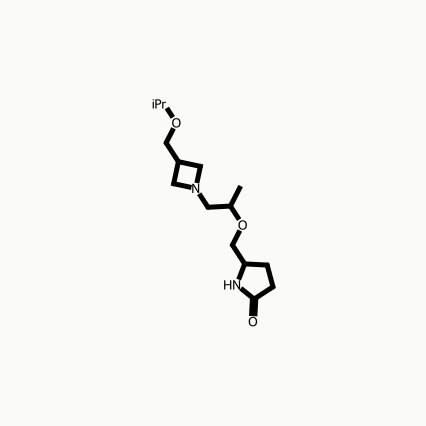 CC(C)OCC1CN(CC(C)OCC2CCC(=O)N2)C1